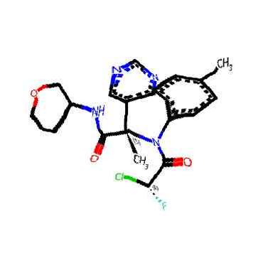 Cc1ccc(N(C(=O)[C@H](F)Cl)[C@](C)(C(=O)NC2CCOC2)c2cncnc2)cc1